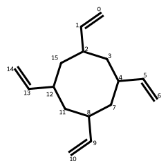 C=CC1CC(C=C)CC(C=C)CC(C=C)C1